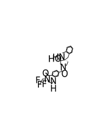 O=C(c1ccc2c(c1)NCCN(CC(F)(F)F)C2=O)N1CC[C@]2(Cc3ccccc3CN2)[C@H](O)C1